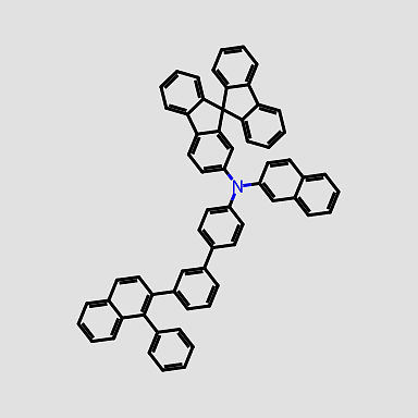 c1ccc(-c2c(-c3cccc(-c4ccc(N(c5ccc6c(c5)C5(c7ccccc7-c7ccccc75)c5ccccc5-6)c5ccc6ccccc6c5)cc4)c3)ccc3ccccc23)cc1